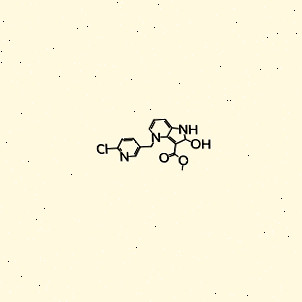 COC(=O)C1=C2C(=CC=CN2Cc2ccc(Cl)nc2)NC1O